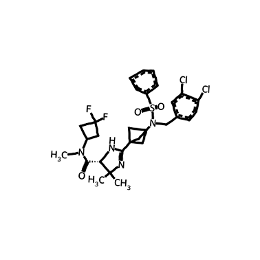 CN(C(=O)[C@@H]1NC(C23CC(N(Cc4ccc(Cl)c(Cl)c4)S(=O)(=O)c4ccccc4)(C2)C3)=NC1(C)C)C1CC(F)(F)C1